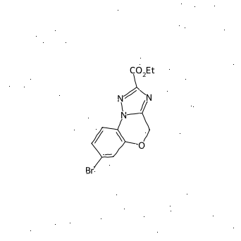 CCOC(=O)c1nc2n(n1)-c1ccc(Br)cc1OC2